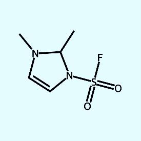 CC1N(C)C=CN1S(=O)(=O)F